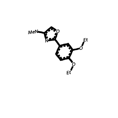 CCOc1ccc(-c2nc(NC)co2)cc1OCC